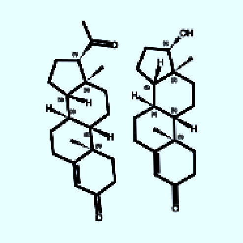 CC(=O)[C@H]1CC[C@H]2[C@@H]3CCC4=CC(=O)CC[C@]4(C)[C@H]3CC[C@]12C.C[C@]12CC[C@H]3[C@@H](CCC4=CC(=O)CC[C@@]43C)[C@@H]1CC[C@@H]2O